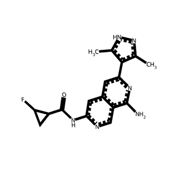 Cc1n[nH]c(C)c1-c1cc2cc(NC(=O)C3CC3F)ncc2c(N)n1